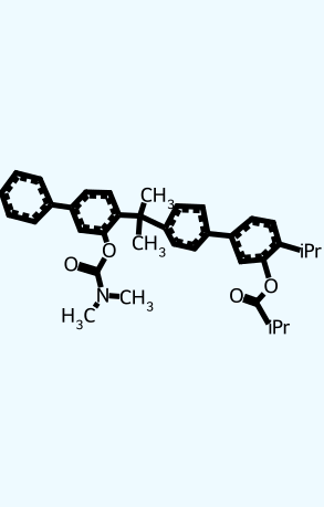 CC(C)C(=O)Oc1cc(-c2ccc(C(C)(C)c3ccc(-c4ccccc4)cc3OC(=O)N(C)C)cc2)ccc1C(C)C